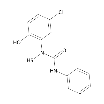 O=C(Nc1ccccc1)N(S)c1cc(Cl)ccc1O